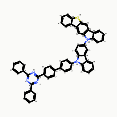 c1ccc(-c2nc(-c3ccccc3)nc(-c3ccc(-c4ccc(-n5c6ccccc6c6cc(-n7c8ccccc8c8cc9sc%10ccccc%10c9cc87)ccc65)cc4)cc3)n2)cc1